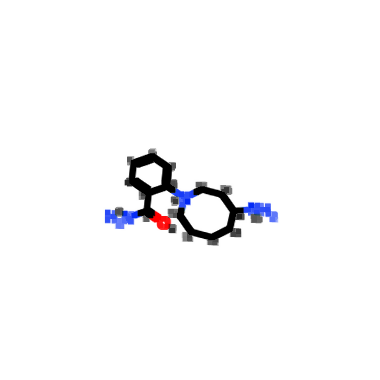 NC(=O)c1ccccc1N1CCCCC(N)CC1